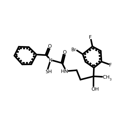 CC(O)(CCNC(=O)N(S)C(=O)c1ccccc1)c1cc(Br)c(F)cc1F